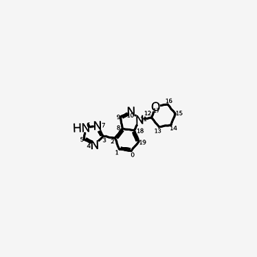 c1cc(-c2nc[nH]n2)c2cnn(C3CCCCO3)c2c1